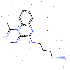 C/N=c1/c(NCCCCN)nc2ccccc2n1C(C)=N